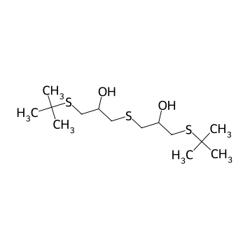 CC(C)(C)SCC(O)CSCC(O)CSC(C)(C)C